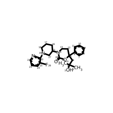 CC(C)(O)CC1(c2ccccc2)CCN(C2CCCN(c3ncccc3F)C2)C(=O)O1